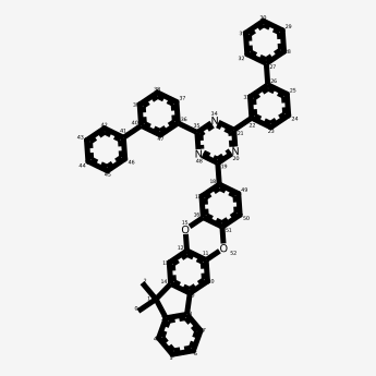 CC1(C)c2ccccc2-c2cc3c(cc21)Oc1cc(-c2nc(-c4cccc(-c5ccccc5)c4)nc(-c4cccc(-c5ccccc5)c4)n2)ccc1O3